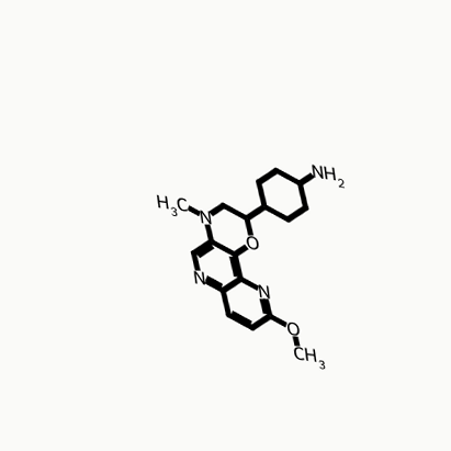 COc1ccc2ncc3c(c2n1)OC(C1CCC(N)CC1)CN3C